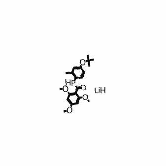 COc1cc(OC)c(C(=O)Pc2ccc(OC(C)(C)C)cc2C)c(OC)c1.[LiH]